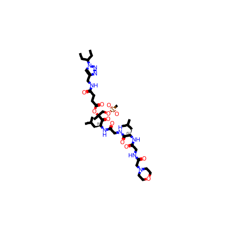 CCC(CC)n1cc(CNC(=O)CCC(=O)OC(C)(COS(C)(=O)=O)C(=O)[C@H](CC(C)C)NC(=O)CNC(=O)[C@H](CC(C)C)NC(=O)CNC(=O)CN2CCOCC2)nn1